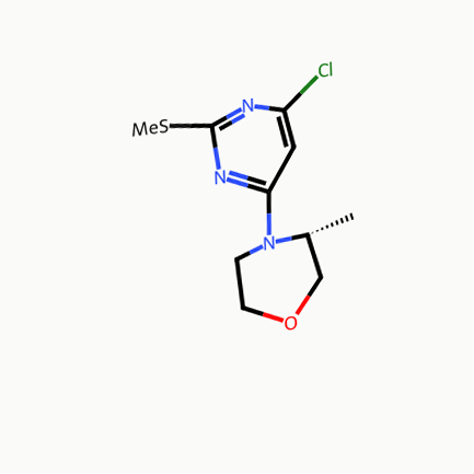 CSc1nc(Cl)cc(N2CCOC[C@H]2C)n1